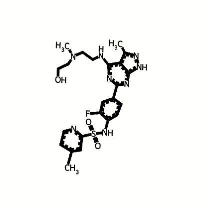 Cc1ccnc(S(=O)(=O)Nc2ccc(-c3nc(NCCN(C)CCO)c4c(C)n[nH]c4n3)cc2F)c1